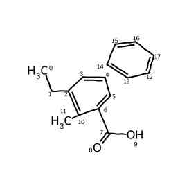 CCc1cccc(C(=O)O)c1C.c1ccccc1